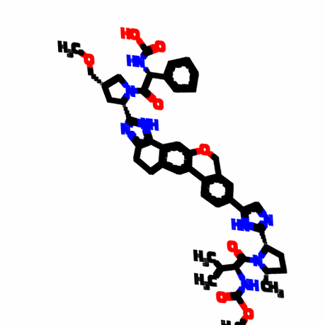 COC[C@H]1C[C@@H](c2nc3c([nH]2)-c2cc4c(cc2CC3)-c2ccc(-c3cnc([C@@H]5CC[C@H](C)N5C(=O)[C@@H](NC(=O)OC)C(C)C)[nH]3)cc2CO4)N(C(=O)[C@H](NC(=O)O)c2ccccc2)C1